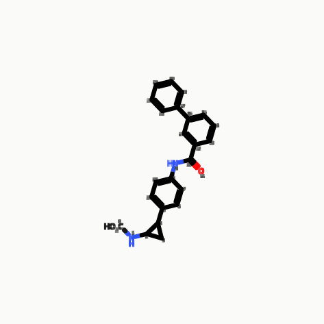 O=C(O)NC1CC1c1ccc(NC(=O)c2cccc(-c3ccccc3)c2)cc1